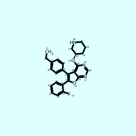 CCc1ccc(-c2c(-c3ccccc3F)oc3ncnc(O[C@@H]4CCCNC4)c23)cc1